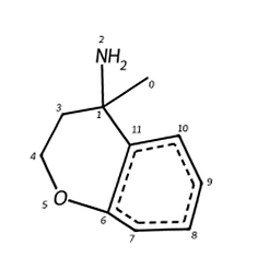 CC1(N)CCOc2ccccc21